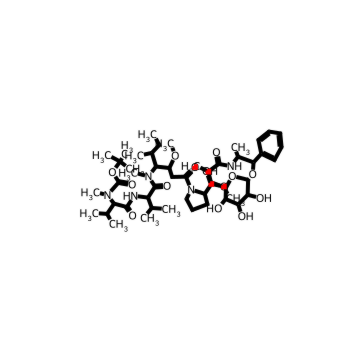 CCC(C)C(C(CC(=O)N1CCCC1C(OC)C(C)C(=O)NC(C)C(OC1OC(CO)C(O)C(O)C1O)c1ccccc1)OC)N(C)C(=O)C(NC(=O)C(C(C)C)N(C)C(=O)OC(C)(C)C)C(C)C